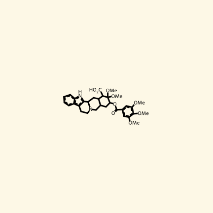 COc1cc(C(=O)OC2CC3CN4CCc5c([nH]c6ccccc56)C4CC3C(C(=O)O)C2(OC)OC)cc(OC)c1OC